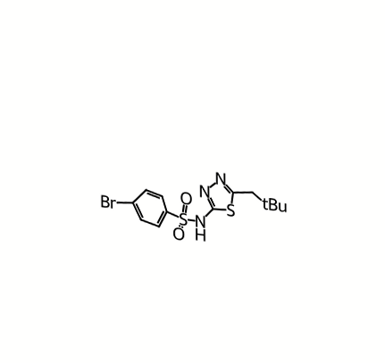 CC(C)(C)Cc1nnc(NS(=O)(=O)c2ccc(Br)cc2)s1